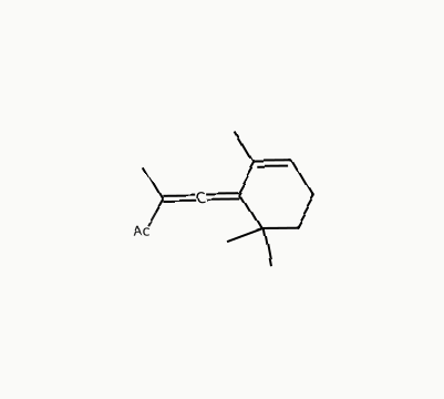 CC(=O)C(C)=C=C1C(C)=CCCC1(C)C